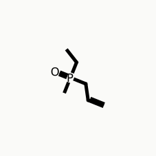 C=CCP(C)(=O)CC